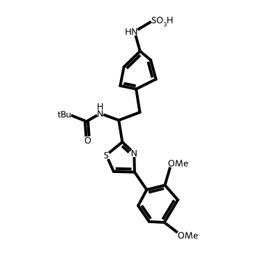 COc1ccc(-c2csc(C(Cc3ccc(NS(=O)(=O)O)cc3)NC(=O)C(C)(C)C)n2)c(OC)c1